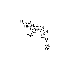 C=CC(=O)Nc1ccc2c(c1)c(C)cn2-c1nc(Nc2cccc(OCCN3CCOCC3)c2)ncc1C